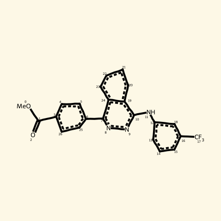 COC(=O)c1ccc(-c2nnc(Nc3cccc(C(F)(F)F)c3)c3ccccc23)cc1